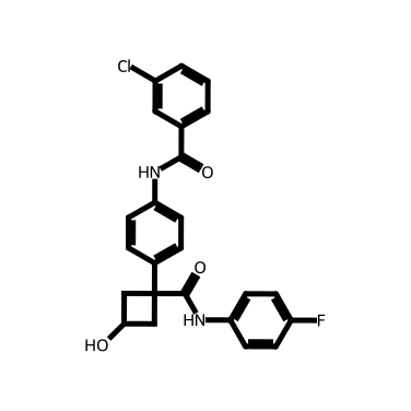 O=C(Nc1ccc(C2(C(=O)Nc3ccc(F)cc3)CC(O)C2)cc1)c1cccc(Cl)c1